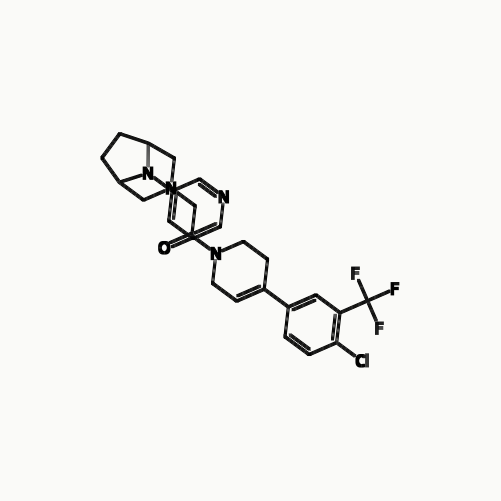 O=C(CN1CC2CCC(C1)N2c1cccnc1)N1CC=C(c2ccc(Cl)c(C(F)(F)F)c2)CC1